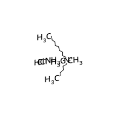 CCCCCCCCCC[N+](C)(C)CCCCCC.Cl.N.[Cl-]